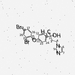 CC(O)(CCn1ccnc1)c1ccc(Oc2ccc(Br)cc2Br)cc1